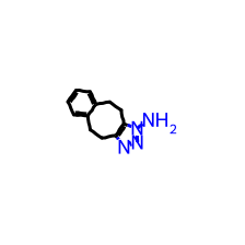 Nn1nnc2c1CCc1ccccc1CC2